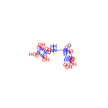 O=C[C@H](CCC(=O)N[C@@H](Cc1ccccc1)C(=O)NCCCCCCNC(=S)Nc1ccc(CC2CN(CC(=O)O)CCN(CC(=O)O)CCN(CC(=O)O)CCN2CC(=O)O)cc1)NC(=O)N[C@@H](CCC(=O)O)C(=O)O